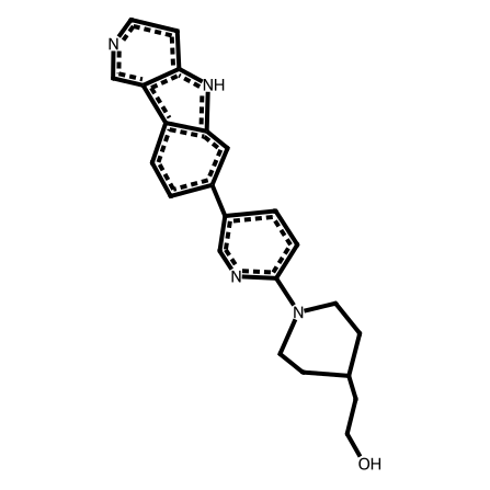 OCCC1CCN(c2ccc(-c3ccc4c(c3)[nH]c3ccncc34)cn2)CC1